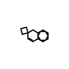 C1=CC2(CCC2)Cc2ccccc21